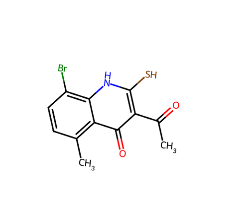 CC(=O)c1c(S)[nH]c2c(Br)ccc(C)c2c1=O